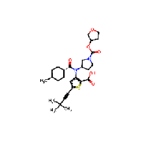 CC(C)(C)C#Cc1cc(N(C(=O)[C@H]2CC[C@H](C)CC2)[C@@H]2CCN(C(=O)OC3CCOC3)C2)c(C(=O)O)s1